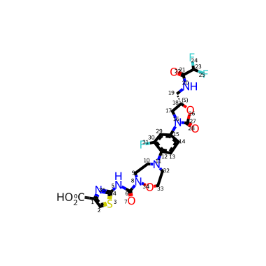 O=C(O)c1csc(NC(=O)N2CCN(c3ccc(N4C[C@H](CNC(=O)C(F)F)OC4=O)cc3F)CCO2)n1